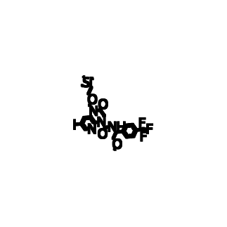 COCC(NC(=O)N1CC(=O)N(COCC[Si](C)(C)C)c2cc(I)cnc21)c1ccc(C(F)(F)F)cc1